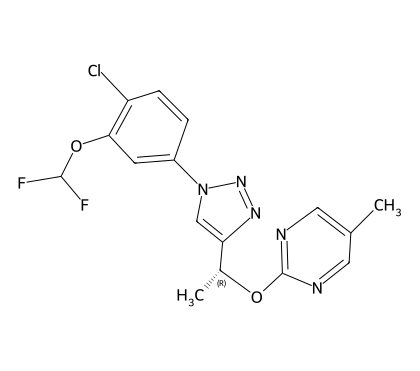 Cc1cnc(O[C@H](C)c2cn(-c3ccc(Cl)c(OC(F)F)c3)nn2)nc1